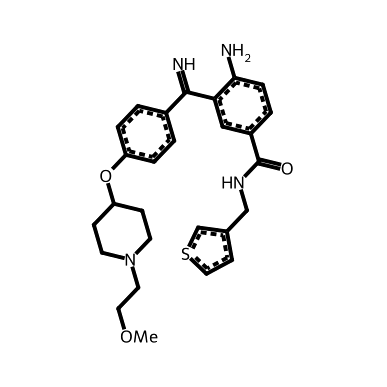 COCCN1CCC(Oc2ccc(C(=N)c3cc(C(=O)NCc4ccsc4)ccc3N)cc2)CC1